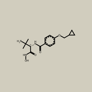 CC(C)(N)[C@H](NC(=O)c1ccc(OCC2CC2)cc1)C(=O)NO